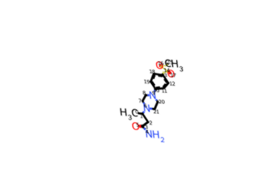 CC(CC(N)=O)N1CCN(c2ccc(S(C)(=O)=O)cc2)CC1